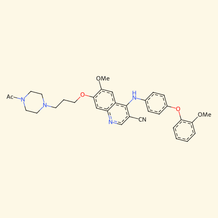 COc1cc2c(Nc3ccc(Oc4ccccc4OC)cc3)c(C#N)cnc2cc1OCCCN1CCN(C(C)=O)CC1